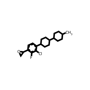 CC1CCC(C2CCC(c3ccc(C4CO4)c(F)c3Cl)CC2)CC1